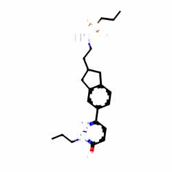 CCCn1nc(-c2ccc3c(c2)CC(CCNS(=O)(=O)CCC)C3)ccc1=O